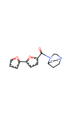 O=C(c1ccc(-c2ccco2)o1)N1CCN2CCC1CC2